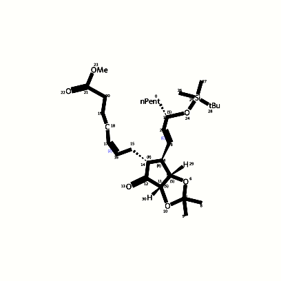 CCCCC[C@@H](/C=C/[C@H]1[C@@H]2OC(C)(C)O[C@@H]2C(=O)[C@@H]1C/C=C\CCCC(=O)OC)O[Si](C)(C)C(C)(C)C